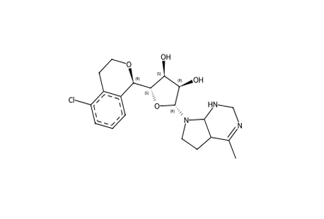 CC1=NCNC2C1CCN2[C@@H]1O[C@H]([C@@H]2OCCc3c(Cl)cccc32)[C@@H](O)[C@H]1O